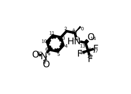 C[C@H](Cc1ccc([N+](=O)[O-])cc1)NC(=O)C(F)(F)F